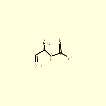 C=CC(N)NC(=S)S